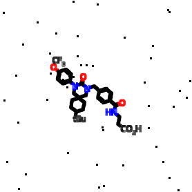 CC(C)(C)C1CCC2(CC1)CN(Cc1ccc(C(=O)NCCC(=O)O)cc1)C(=O)N(c1ccc(OC(F)(F)F)cc1)C2